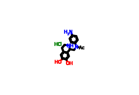 CC(=O)N(CC1NCCc2cc(O)c(O)cc21)c1ccc(N)cc1.Cl